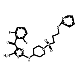 Nc1nc(NC2CCN(S(=O)(=O)CCCSc3ccccn3)CC2)sc1C(=O)c1c(F)cccc1F